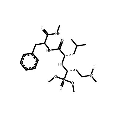 CNC(=O)C(Cc1ccccc1)NC(=O)[C@H](CC(C)C)N[C@H](CC[S+](C)[O-])P(=O)(OC)OC